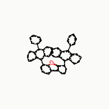 c1ccc(-c2c3ccccc3c(-c3cccc4c3oc3c(-c5c6ccccc6c(-c6ccccc6)c6ccccc56)cccc34)c3ccccc23)cc1